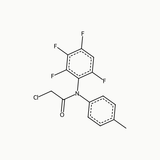 Cc1ccc(N(C(=O)CCl)c2c(F)cc(F)c(F)c2F)cc1